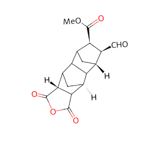 COC(=O)[C@@H]1C2C[C@@H](C3C2C2C[C@@H]3C3C(=O)OC(=O)[C@H]23)[C@@H]1C=O